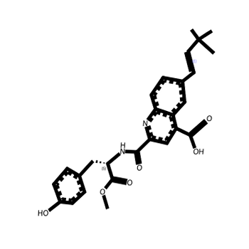 COC(=O)[C@H](Cc1ccc(O)cc1)NC(=O)c1cc(C(=O)O)c2cc(/C=C/C(C)(C)C)ccc2n1